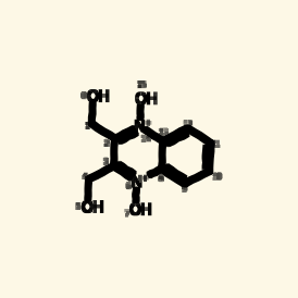 OCc1c(CO)[n+](O)c2ccccc2[n+]1O